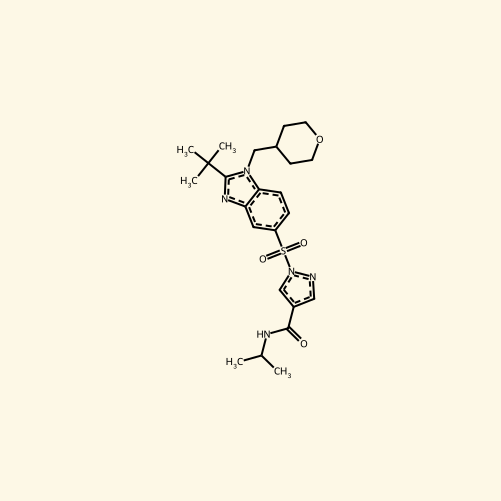 CC(C)NC(=O)c1cnn(S(=O)(=O)c2ccc3c(c2)nc(C(C)(C)C)n3CC2CCOCC2)c1